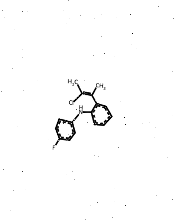 C/C(Cl)=C(\C)c1ccccc1Nc1ccc(F)cc1